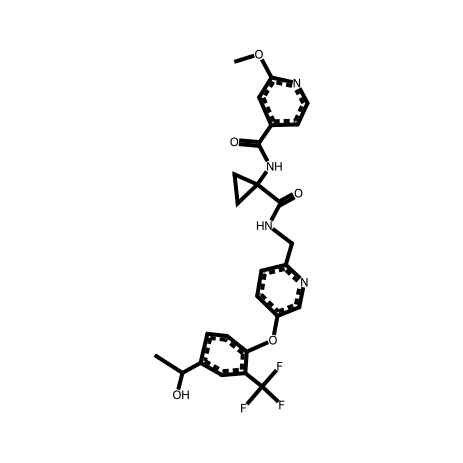 COc1cc(C(=O)NC2(C(=O)NCc3ccc(Oc4ccc(C(C)O)cc4C(F)(F)F)cn3)CC2)ccn1